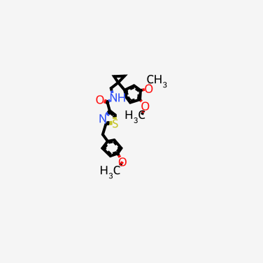 COc1ccc(Cc2nc(C(=O)NCC3(c4ccc(OC)c(OC)c4)CC3)cs2)cc1